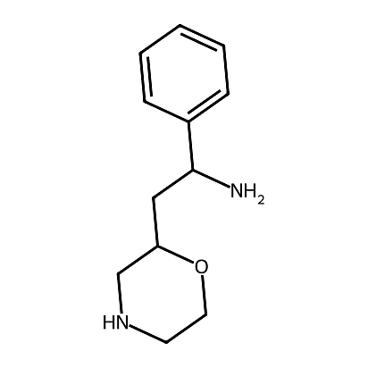 NC(CC1CNCCO1)c1ccccc1